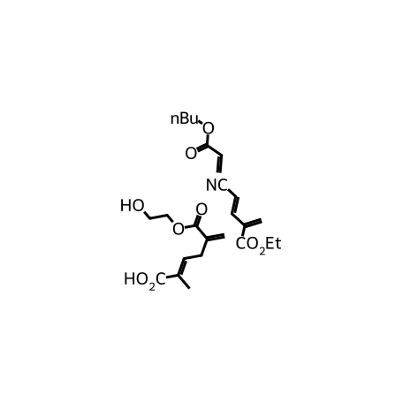 C=C(C=CC#N)C(=O)OCC.C=C(CC=C(C)C(=O)O)C(=O)OCCO.C=CC(=O)OCCCC